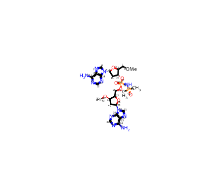 COCC1O[C@@H](n2cnc3c(N)ncnc32)C[C@H]1OP(=O)(NP(C)(C)=O)OCC1O[C@@H](n2cnc3c(N)ncnc32)C[C@H]1OC(C)C